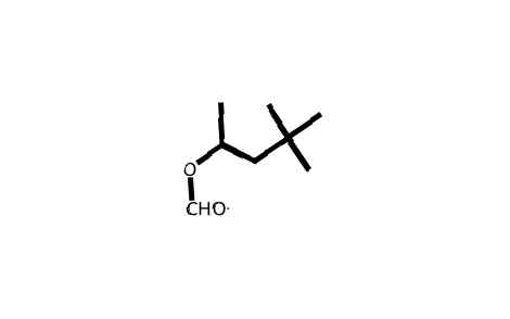 CC(CC(C)(C)C)O[C]=O